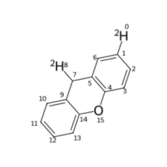 [2H]c1ccc2c(c1)C([2H])c1ccccc1O2